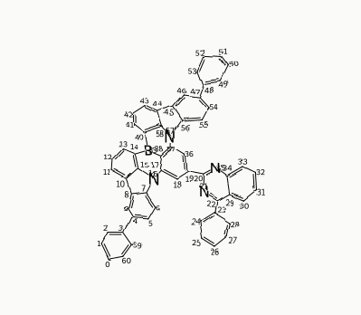 c1ccc(-c2ccc3c(c2)c2cccc4c2n3-c2cc(-c3nc(-c5ccccc5)c5ccccc5n3)cc3c2B4c2cccc4c5cc(-c6ccccc6)ccc5n-3c24)cc1